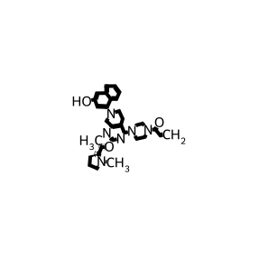 C=CC(=O)N1CCN(c2nc(O[C@@H](C)[C@@H]3CCCN3C)nc3c2CCN(c2cc(O)cc4ccccc24)C3)CC1